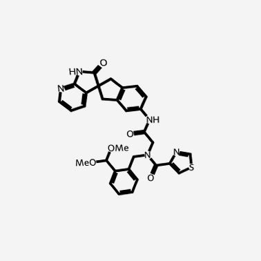 COC(OC)c1ccccc1CN(CC(=O)Nc1ccc2c(c1)CC1(C2)C(=O)Nc2ncccc21)C(=O)c1cscn1